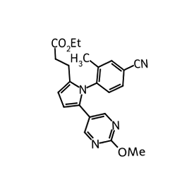 CCOC(=O)CCc1ccc(-c2cnc(OC)nc2)n1-c1ccc(C#N)cc1C